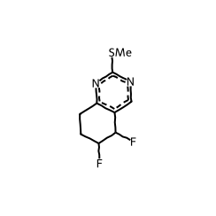 CSc1ncc2c(n1)CCC(F)C2F